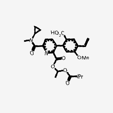 C=Cc1cc(C(=O)O)c(-c2ccc(C(=O)N(C)C3CC3)nc2C(=O)OC(C)OC(=O)C(C)C)cc1OC